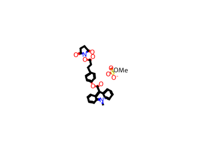 COS(=O)(=O)[O-].C[n+]1c2ccccc2c(C(=O)Oc2ccc(CCC(=O)ON3C(=O)CCC3=O)cc2)c2ccccc21